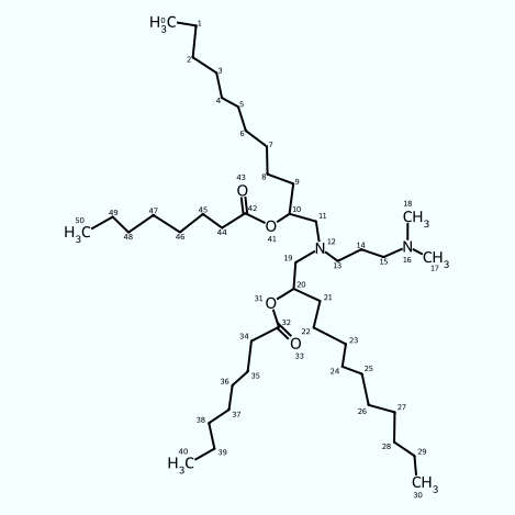 CCCCCCCCCCC(CN(CCCN(C)C)CC(CCCCCCCCCC)OC(=O)CCCCCCC)OC(=O)CCCCCCC